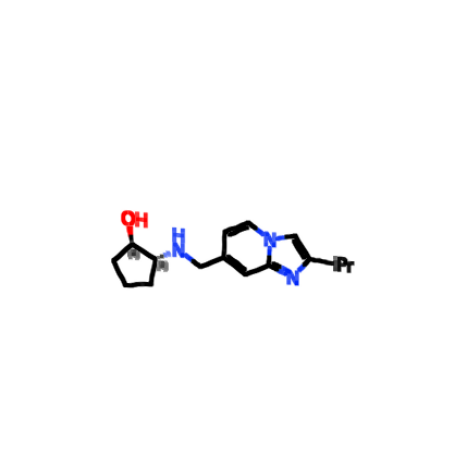 CC(C)c1cn2ccc(CN[C@@H]3CCC[C@H]3O)cc2n1